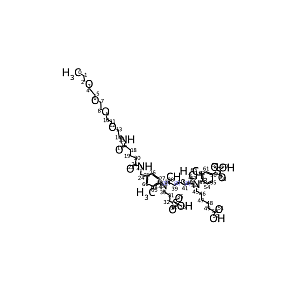 CCCOCCOCCOCCOCCNC(=O)CCCC(=O)NCc1ccc(/[N+](CCCS(=O)(=O)O)=C(C)/C=C/C=C(\C)N(CCCCCC(=O)O)c2ccc(S(=O)(=O)O)cc2C)c(C)c1